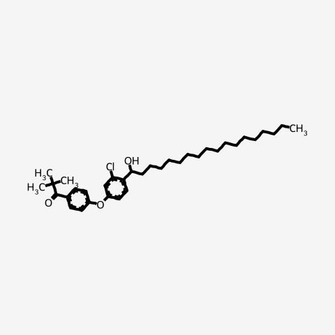 CCCCCCCCCCCCCCCCCC(O)c1ccc(Oc2ccc(C(=O)C(C)(C)C)cc2)cc1Cl